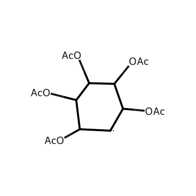 CC(=O)OC1[CH]C(OC(C)=O)C(OC(C)=O)C(OC(C)=O)C1OC(C)=O